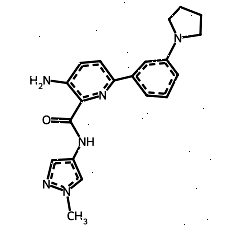 Cn1cc(NC(=O)c2nc(-c3cccc(N4CCCC4)c3)ccc2N)cn1